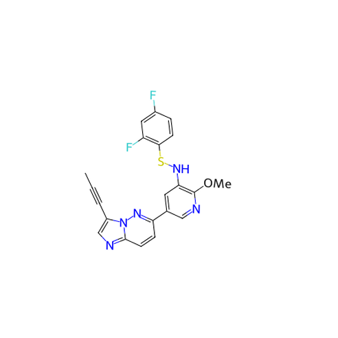 CC#Cc1cnc2ccc(-c3cnc(OC)c(NSc4ccc(F)cc4F)c3)nn12